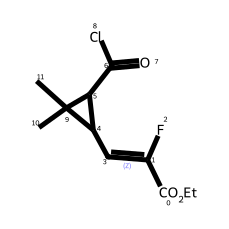 CCOC(=O)/C(F)=C/C1C(C(=O)Cl)C1(C)C